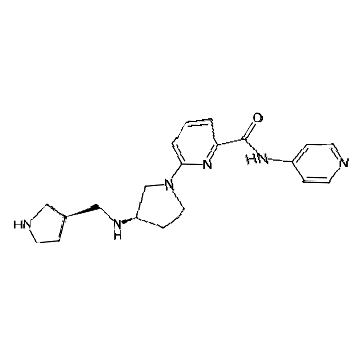 O=C(Nc1ccncc1)c1cccc(N2CC[C@@H](NC[C@H]3CCNC3)C2)n1